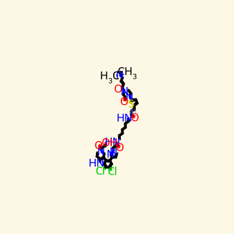 CN(C)CC=CC(=O)N1CCN(c2ccc(/C=C/C(=O)NCCCCCCCNC(=O)Cn3ccc(-c4cc(Cl)c(Cl)c5[nH]c6c(c45)CN(C(=O)CO)CC6)n3)s2)C(=O)C1